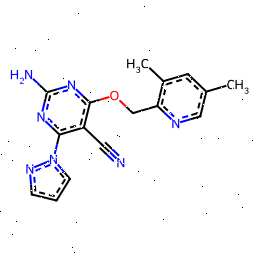 Cc1cnc(COc2nc(N)nc(-n3cccn3)c2C#N)c(C)c1